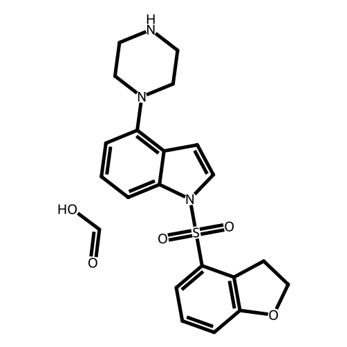 O=CO.O=S(=O)(c1cccc2c1CCO2)n1ccc2c(N3CCNCC3)cccc21